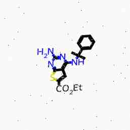 CCOC(=O)c1cc2c(NC(C)(C)c3ccccc3)nc(N)nc2s1